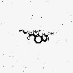 CCCNC(=O)c1nn(C)c2c1CCCc1cnc(O)nc1-2